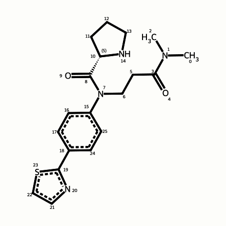 CN(C)C(=O)CCN(C(=O)[C@@H]1CCCN1)c1ccc(-c2nccs2)cc1